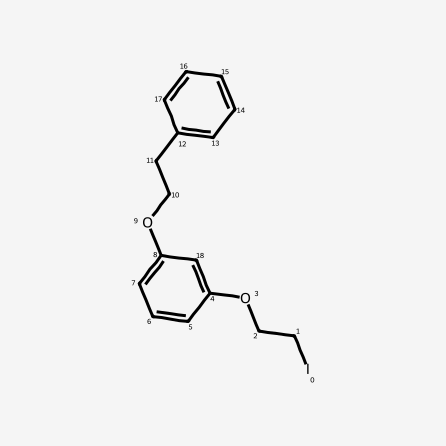 ICCOc1cccc(OCCc2ccccc2)c1